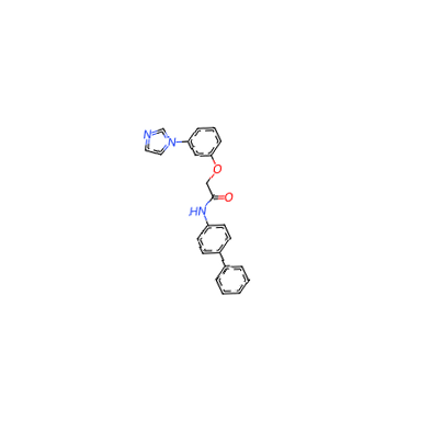 O=C(COc1cccc(-n2ccnc2)c1)Nc1ccc(-c2ccccc2)cc1